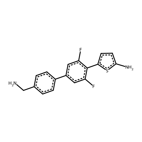 NCc1ccc(-c2cc(F)c(-c3ccc(N)s3)c(F)c2)cc1